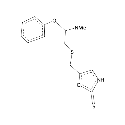 CNC(CSCc1c[nH]c(=S)o1)Oc1ccccc1